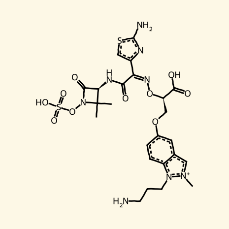 C[n+]1cc2cc(OC[C@@H](O/N=C(\C(=O)N[C@@H]3C(=O)N(OS(=O)(=O)O)C3(C)C)c3csc(N)n3)C(=O)O)ccc2n1CCCN